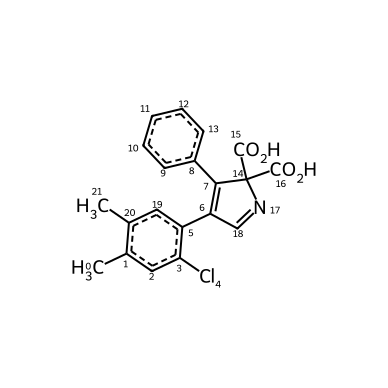 Cc1cc(Cl)c(C2=C(c3ccccc3)C(C(=O)O)(C(=O)O)N=C2)cc1C